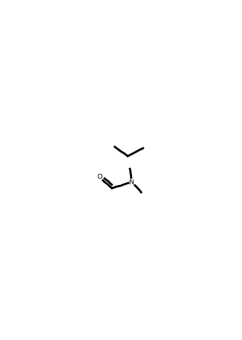 CCC.CN(C)C=O